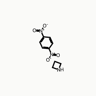 C1CNC1.O=[N+]([O-])c1ccc([N+](=O)[O-])cc1